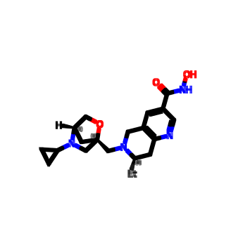 CC[C@@H]1Cc2ncc(C(=O)NO)cc2CN1C[C@@]12C[C@@H](CO1)N(C1CC1)C2